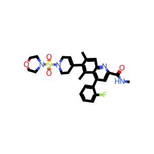 CNC(=O)c1cc(-c2ccccc2F)c2c(C)c(C3=CCN(S(=O)(=O)N4CCOCC4)CC3)c(C)cc2n1